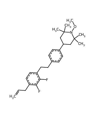 C=CCc1ccc(CCc2ccc(C3CC(C)(C)N(OC)C(C)(C)C3)cc2)c(F)c1F